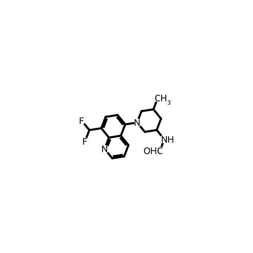 CC1CC(NC=O)CN(c2ccc(C(F)F)c3ncccc23)C1